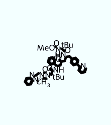 COC(=O)NC(C(=O)NC(Cc1ccc(-c2ccccn2)cc1)CC(O)CC(NC(=O)C(N1CCN(Cc2nc3ccccc3n2C)C1=O)C(C)(C)C)c1ccccc1)C(C)(C)C